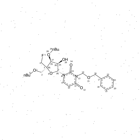 CCCCOC[C@@]1(CF)O[C@@H](n2ccc(=O)n(COCc3ccccc3)c2=O)[C@H](O)[C@@H]1OCCCC